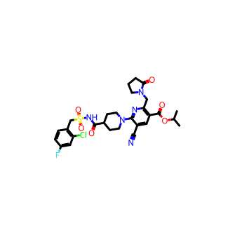 CC(C)OC(=O)c1cc(C#N)c(N2CCC(C(=O)NS(=O)(=O)Cc3ccc(F)cc3Cl)CC2)nc1CN1CCCC1=O